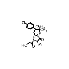 CC(C)[C@@H](NC(=O)CO)C(=O)N1CC[C@](O)(c2ccc(Cl)cc2)C(C)(C)C1